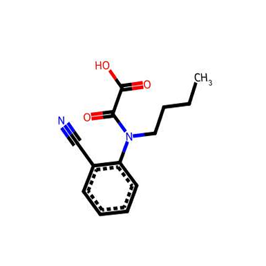 CCCCN(C(=O)C(=O)O)c1ccccc1C#N